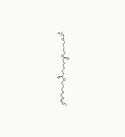 C=COCCCCCOC(=O)CCCCCCC(=O)OCCCCCOC=C